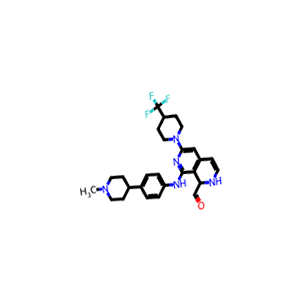 CN1CCC(c2ccc(Nc3nc(N4CCC(C(F)(F)F)CC4)cc4c3C(C=O)NC=C4)cc2)CC1